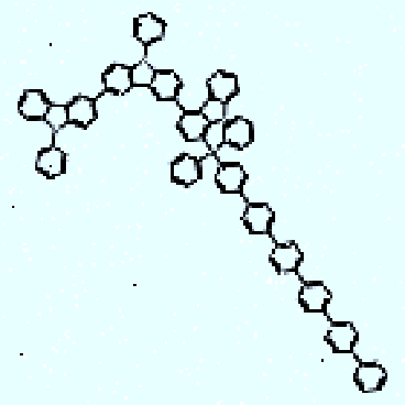 c1ccc(-c2ccc(-c3ccc(-c4ccc(-c5ccc(-c6ccc([Si](c7ccccc7)(c7ccccc7)c7ccc(-c8ccc9c(c8)c8cc(-c%10ccc%11c(c%10)c%10ccccc%10n%11-c%10ccccc%10)ccc8n9-c8ccccc8)c8c7sc7ccccc78)cc6)cc5)cc4)cc3)cc2)cc1